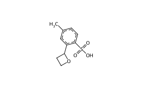 Cc1ccc(S(=O)(=O)O)c(C2CCO2)c1